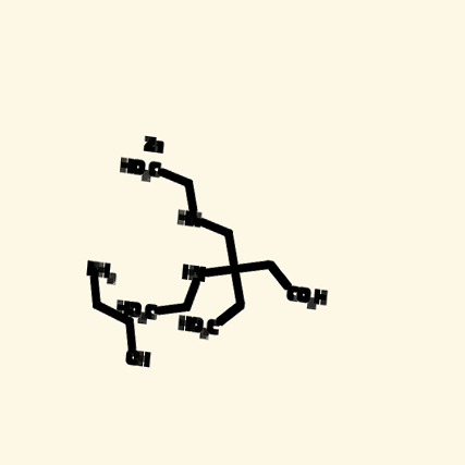 NCCO.O=C(O)CNCC(CC(=O)O)(CC(=O)O)NCC(=O)O.[Zn]